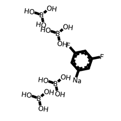 Fc1cc(F)c[c]([Na])c1.OB(O)O.OB(O)O.OB(O)O.OB(O)O